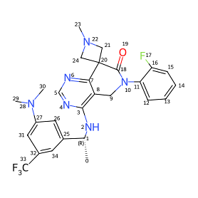 C[C@@H](Nc1ncnc2c1CN(c1ccccc1F)C(=O)C21CN(C)C1)c1cc(N(C)C)cc(C(F)(F)F)c1